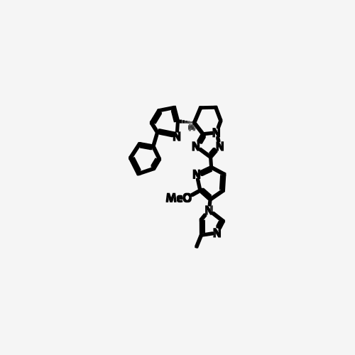 COc1nc(-c2nc3n(n2)CCC[C@H]3c2cccc(-c3ccccc3)n2)ccc1-n1cnc(C)c1